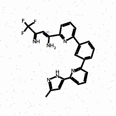 Cc1cc(-c2cccc(-c3cccc(-c4cccc(/C(N)=C/C(=N)C(F)(F)F)n4)c3)n2)[nH]n1